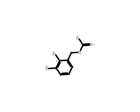 O=C(Cl)OCc1cccc(Cl)c1Cl